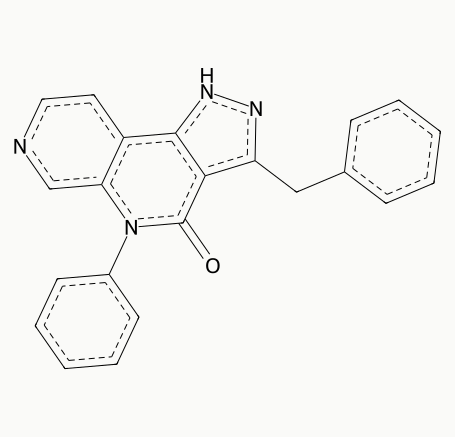 O=c1c2c(Cc3ccccc3)n[nH]c2c2ccncc2n1-c1ccccc1